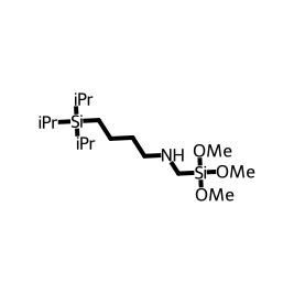 CO[Si](CNCCCC[Si](C(C)C)(C(C)C)C(C)C)(OC)OC